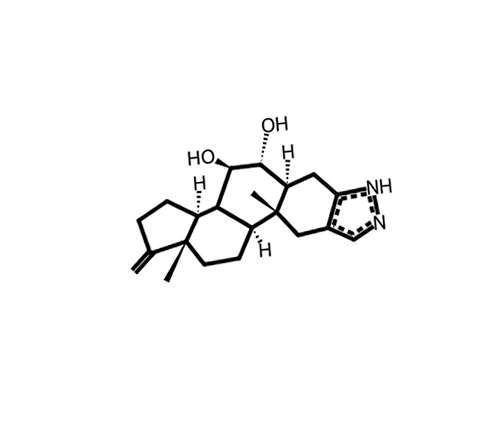 C=C1CC[C@H]2C3[C@@H](O)[C@H](O)[C@H]4Cc5[nH]ncc5C[C@]4(C)[C@H]3CC[C@]12C